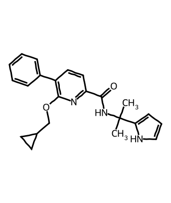 CC(C)(NC(=O)c1ccc(-c2ccccc2)c(OCC2CC2)n1)c1ccc[nH]1